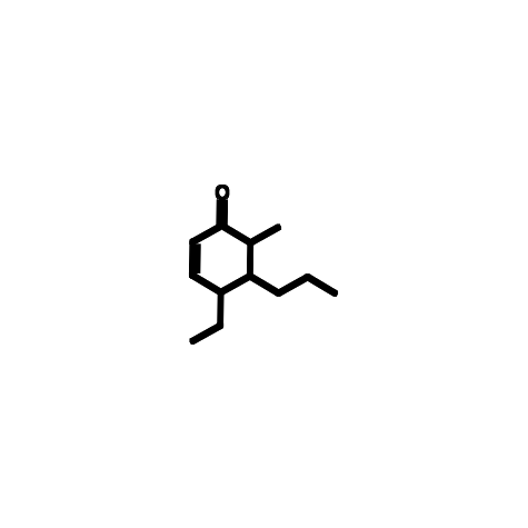 CCCC1C(CC)C=CC(=O)C1C